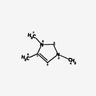 CC1=CN(C)[CH]N1C